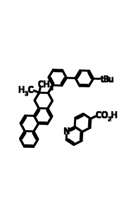 CC(C)(C)c1ccc(-c2cccc(C3Cc4ccc5c(ccc6ccccc65)c4CC3(C)C)c2)cc1.O=C(O)c1ccc2ncccc2c1